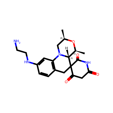 C[C@@H]1CN2c3cc(NCCN)ccc3CC3(C(=O)CC(=O)NC3=O)[C@H]2[C@H](C)O1